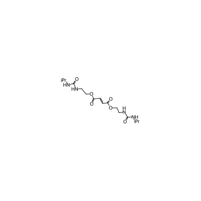 CC(C)NC(=O)NCCOC(=O)/C=C/C(=O)OCCNC(=O)NC(C)C